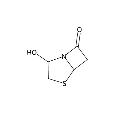 O=C1CC2SCC(O)N12